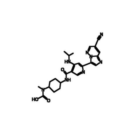 CC(C)Nc1cc(-c2cnc3cc(C#N)cnn23)ncc1C(=O)NC1CCC(N(C)C(=O)O)CC1